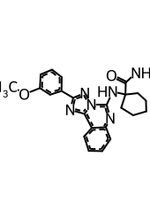 COc1cccc(-c2nc3c4ccccc4nc(NC4(C(N)=O)CCCCC4)n3n2)c1